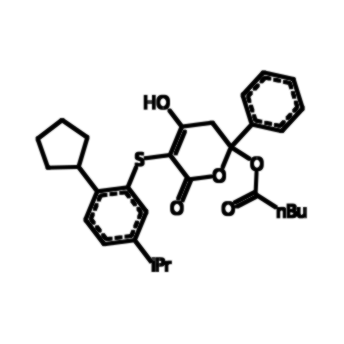 CCCCC(=O)OC1(c2ccccc2)CC(O)=C(Sc2cc(C(C)C)ccc2C2CCCC2)C(=O)O1